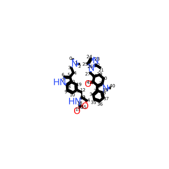 CN(C)CCc1c[nH]c2ccc(C[C@H]3COC(=O)N3)cc12.Cc1nccn1CC1CCc2c(c3ccccc3n2C)C1=O